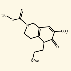 COCCn1c2c(cc(C(=O)O)c1=O)CN(C(=O)OC(C)(C)C)CC2